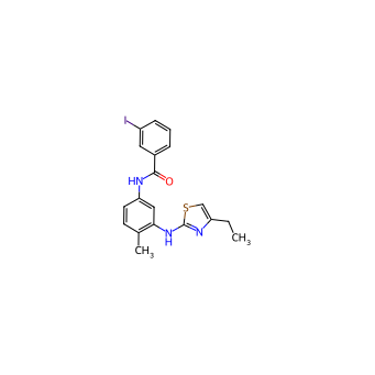 CCc1csc(Nc2cc(NC(=O)c3cccc(I)c3)ccc2C)n1